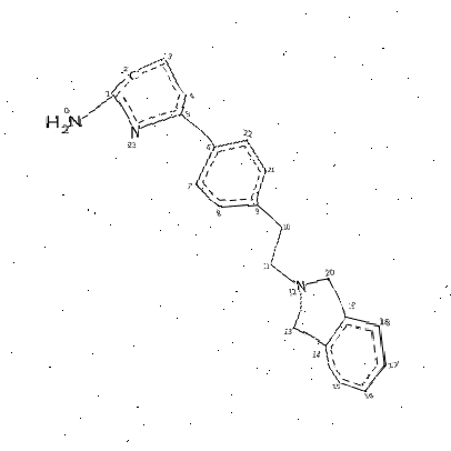 Nc1cccc(-c2ccc(CCN3Cc4ccccc4C3)cc2)n1